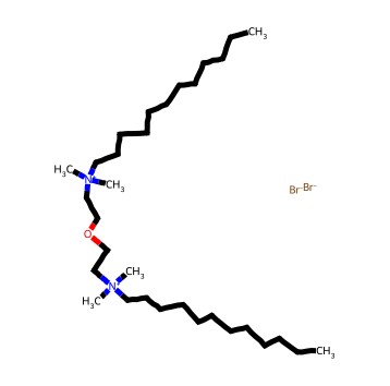 CCCCCCCCCCCC[N+](C)(C)CCOCC[N+](C)(C)CCCCCCCCCCCC.[Br-].[Br-]